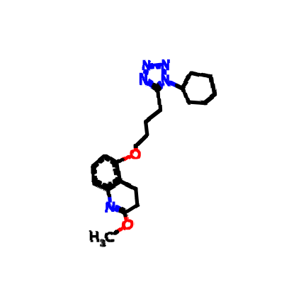 COC1=Nc2cccc(OCCCCc3nnnn3C3CCCCC3)c2CC1